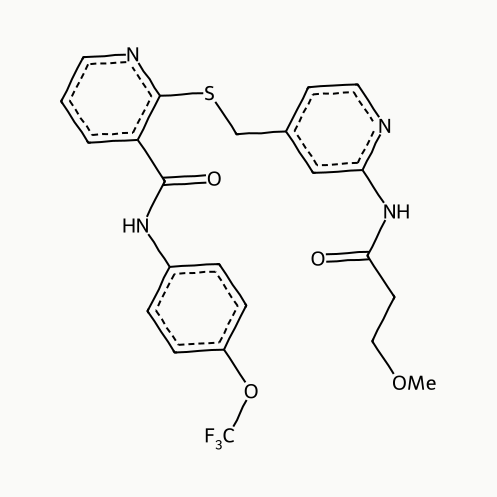 COCCC(=O)Nc1cc(CSc2ncccc2C(=O)Nc2ccc(OC(F)(F)F)cc2)ccn1